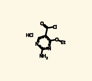 CCOc1nc(N)ncc1C(=O)Cl.Cl